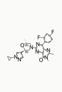 Cc1nc2c(-c3ccc(F)cc3F)nc(N3C[C@@H](C)O[C@H](c4cnn(C5CC5)c4)C3)nc2c(=O)n1C